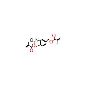 C=C(C)C(=O)OCc1ccc(COC(=O)C(=C)C)c([N+](=O)[O-])c1